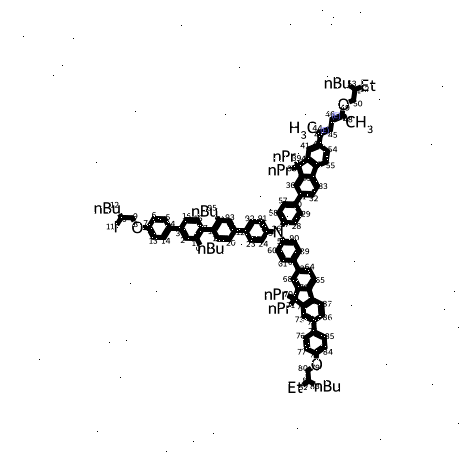 CCCCc1cc(-c2ccc(OCC(I)CCCC)cc2)ccc1-c1ccc(-c2ccc(N(c3ccc(-c4ccc5c(c4)C(CCC)(CCC)c4cc(/C(C)=C/C=C(\C)OCC(CC)CCCC)ccc4-5)cc3)c3ccc(-c4ccc5c(c4)C(CCC)(CCC)c4cc(-c6ccc(OCC(CC)CCCC)cc6)ccc4-5)cc3)cc2)cc1CCCC